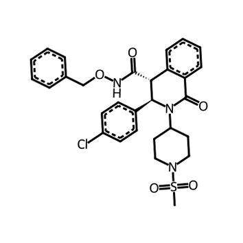 CS(=O)(=O)N1CCC(N2C(=O)c3ccccc3[C@@H](C(=O)NOCc3ccccc3)[C@@H]2c2ccc(Cl)cc2)CC1